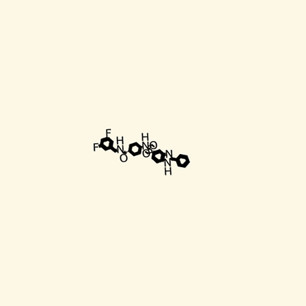 O=C(NCc1cc(F)cc(F)c1)[C@H]1CC[C@H](NS(=O)(=O)c2ccc3[nH]c(-c4ccccc4)nc3c2)CC1